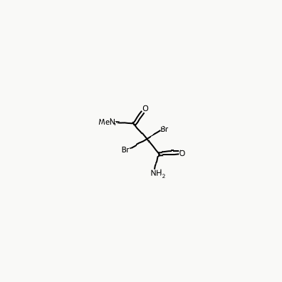 CNC(=O)C(Br)(Br)C(N)=O